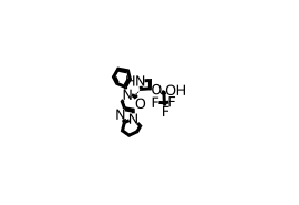 O=C(O)C(F)(F)F.O=C([C@H]1CCN1)N(Cc1cn2c(n1)CCCC2)c1ccccc1